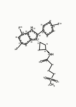 CS(=O)(=O)CCCC(=O)N[C@H]1C[C@H](c2c(-c3ccc(F)cc3)[nH]c3c(F)cc(F)cc32)C1